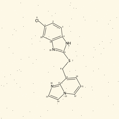 Clc1ccc2[nH]c(SCc3cccn4ccnc34)nc2c1